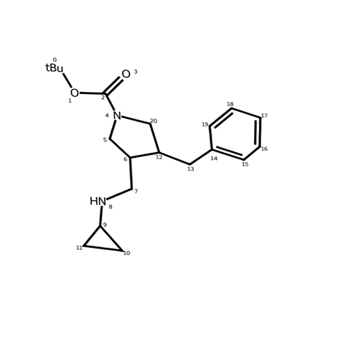 CC(C)(C)OC(=O)N1CC(CNC2CC2)C(Cc2ccccc2)C1